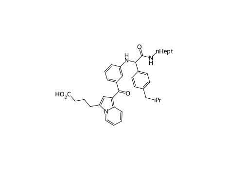 CCCCCCCNC(=O)C(Nc1cccc(C(=O)c2cc(CCCC(=O)O)n3ccccc23)c1)c1ccc(CC(C)C)cc1